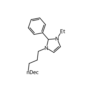 CCCCCCCCCCCCCN1C=CN(CC)C1c1ccccc1